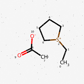 CC[S+]1CCCC1.[CH]C(=O)[O-]